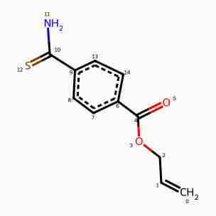 C=CCOC(=O)c1ccc(C(N)=S)cc1